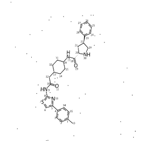 Cc1ccc(-c2csc(NC(=O)CC3CCC(NC(=O)[C@@H]4C[C@@H](c5ccccc5)CN4)CC3)n2)cc1